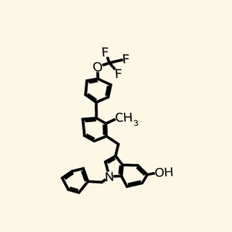 Cc1c(Cc2cn(Cc3ccccc3)c3ccc(O)cc23)cccc1-c1ccc(OC(F)(F)F)cc1